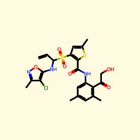 C=CC(Nc1onc(C)c1Cl)S(=O)(=O)c1cc(C)sc1C(=O)Nc1cc(C)cc(C)c1C(=O)CO